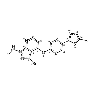 CPn1nc(Br)c2c(Oc3ccc(-c4ncc(C)s4)cc3)ccnc21